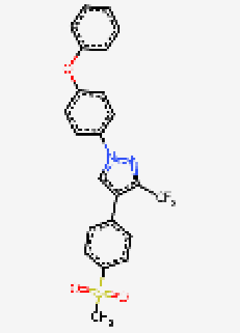 CS(=O)(=O)c1ccc(-c2cn(-c3ccc(Oc4ccccc4)cc3)nc2C(F)(F)F)cc1